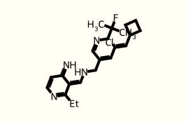 CCC1=NC=CC(=N)/C1=C\NCC(/C=N\CC(C)(C)F)=C/C(Cl)=C/C1CCC1